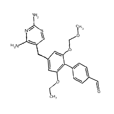 CCOc1cc(Cc2cnc(N)nc2N)cc(OCOC)c1-c1ccc(C=O)cc1